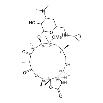 CO[C@]1(C)C[C@@H](C)CN[C@H](C)[C@H]2NC(=O)O[C@]2(C)[C@@H](C)OC(=O)C(C)C(=O)[C@H](C)[C@H]1OC1OC(CNC2CC2)CC(N(C)C)C1O